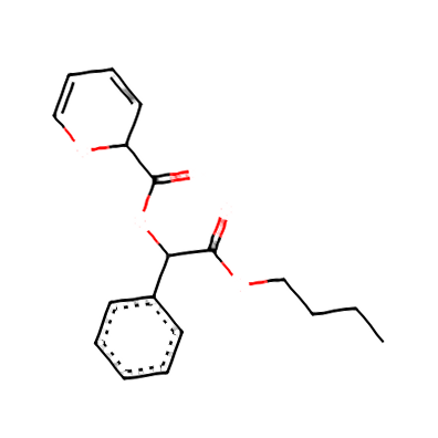 CCCCOC(=O)C(OC(=O)C1C=CC=CO1)c1ccccc1